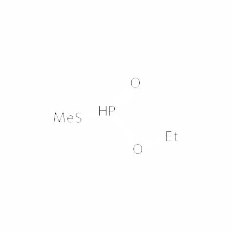 CCO[PH](=O)SC